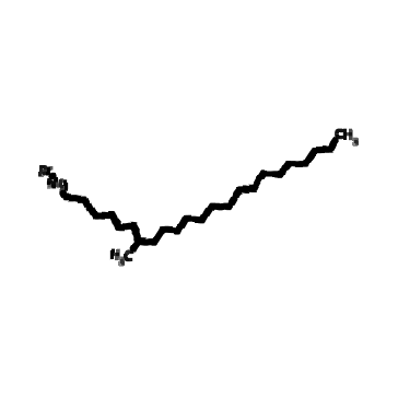 CCCCCCCCCCCCCCCCC(C)CCCCC[CH2][Mg][Br]